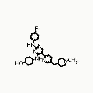 CN1CCC(Cc2ccc(-c3cnc(Nc4ccc(F)cc4)nc3N[C@H]3CC[C@H](O)CC3)nc2)CC1